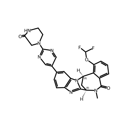 CN1C(=O)c2cccc(OC(F)F)c2[C@H]2C[C@@H]1c1nc3ccc(-c4cnc(N5CCNC(=O)C5)nc4)cc3n12